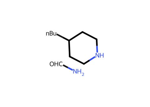 CCCCC1CCNCC1.NC=O